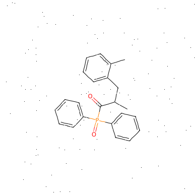 Cc1ccccc1CC(C)C(=O)P(=O)(c1ccccc1)c1ccccc1